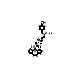 CCCCN(C/C=C/S(=O)(=O)NC(=O)NC1C2=CCCC2CCC2CCCC21)Cc1ccc(C#N)cc1